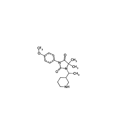 CC(C1CCCNC1)N1C(=O)N(c2ccc(OC(F)(F)F)cc2)C(=O)C1(C)C